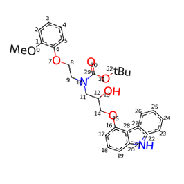 COc1ccccc1OCCN(CC(O)COc1cccc2[nH]c3ccccc3c12)C(=O)OC(C)(C)C